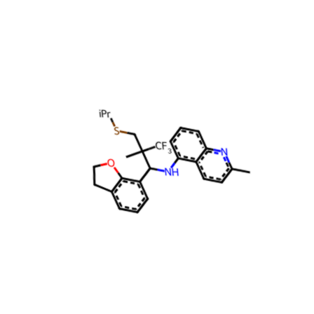 Cc1ccc2c(NC(c3cccc4c3OCC4)C(C)(CSC(C)C)C(F)(F)F)cccc2n1